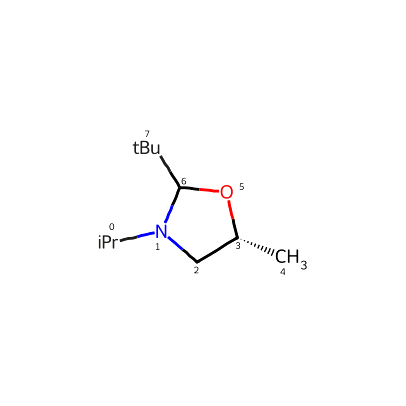 CC(C)N1C[C@@H](C)OC1C(C)(C)C